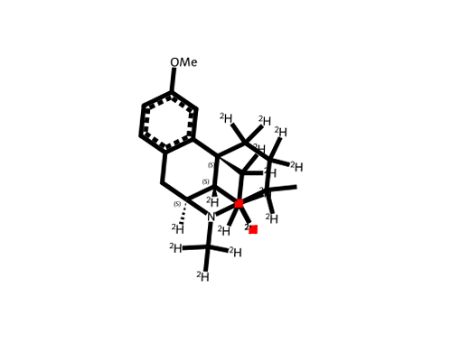 [2H]C([2H])([2H])N1C([2H])([2H])C([2H])([2H])[C@]23c4cc(OC)ccc4C[C@@]1([2H])[C@@]2([2H])C([2H])([2H])C([2H])(C)C([2H])([2H])C3([2H])[2H]